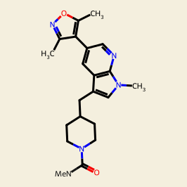 CNC(=O)N1CCC(Cc2cn(C)c3ncc(-c4c(C)noc4C)cc23)CC1